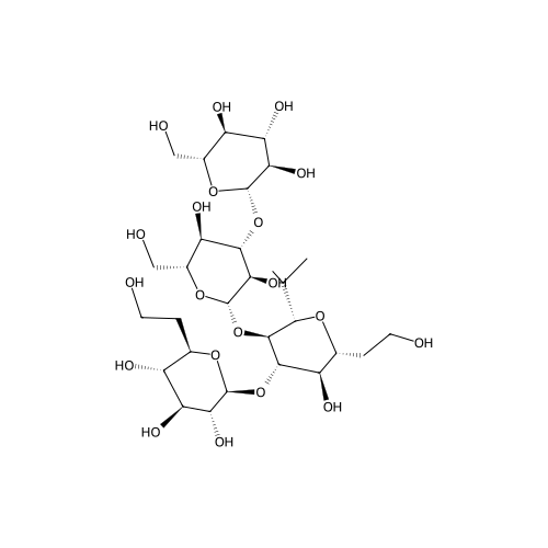 CC(C)[C@@H]1O[C@H](CCO)[C@@H](O)[C@H](O[C@@H]2O[C@H](CCO)[C@@H](O)[C@H](O)[C@H]2O)[C@H]1O[C@@H]1O[C@H](CO)[C@@H](O)[C@H](O[C@@H]2O[C@H](CO)[C@@H](O)[C@H](O)[C@H]2O)[C@H]1O